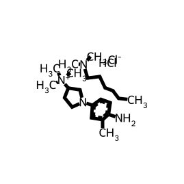 CCCCCCN(C)C.Cc1cc(N2CCC([N+](C)(C)C)C2)ccc1N.Cl.[Cl-]